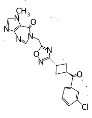 Cn1cnc2ncn(Cc3nc([C@H]4C[C@H](C(=O)c5cccc(Cl)c5)C4)no3)c(=O)c21